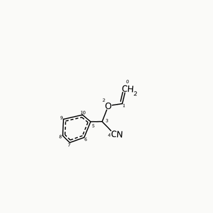 C=COC(C#N)c1ccccc1